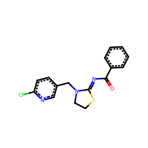 O=C(/N=C1\SCCN1Cc1ccc(Cl)nc1)c1ccccc1